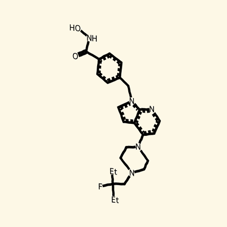 CCC(F)(CC)CN1CCN(c2ccnc3c2ccn3Cc2ccc(C(=O)NO)cc2)CC1